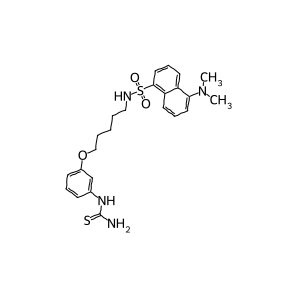 CN(C)c1cccc2c(S(=O)(=O)NCCCCCOc3cccc(NC(N)=S)c3)cccc12